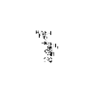 CCC(CNc1ncc(C)n(CC(=O)NCCONC(=N)N)c1=O)c1ccccc1